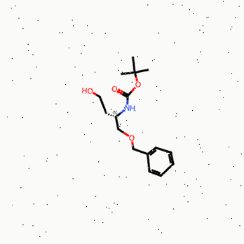 CC(C)(C)OC(=O)N[C@@H](CCO)COCc1ccccc1